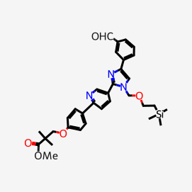 COC(=O)C(C)(C)COc1ccc(-c2ccc(-c3nc(-c4cccc(C=O)c4)cn3COCC[Si](C)(C)C)cn2)cc1